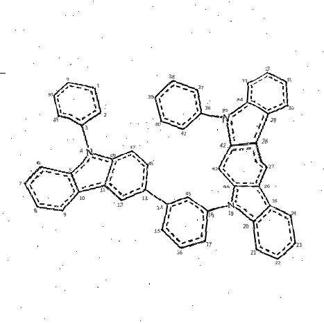 c1ccc(-n2c3ccccc3c3cc(-c4cccc(-n5c6ccccc6c6cc7c8ccccc8n(-c8ccccc8)c7cc65)c4)ccc32)cc1